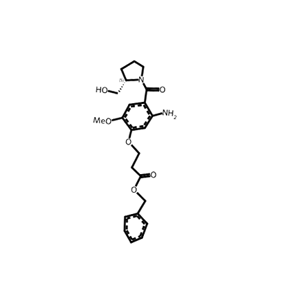 COc1cc(C(=O)N2CCC[C@H]2CO)c(N)cc1OCCC(=O)OCc1ccccc1